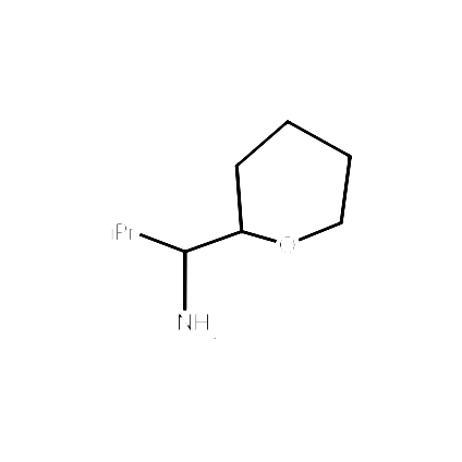 CC(C)C(N)C1CCCCO1